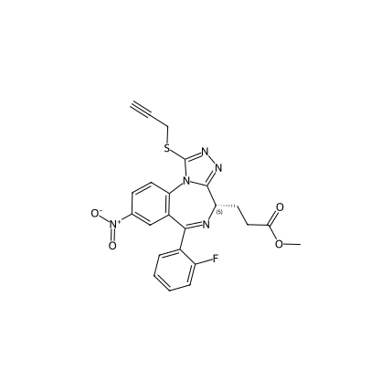 C#CCSc1nnc2n1-c1ccc([N+](=O)[O-])cc1C(c1ccccc1F)=N[C@H]2CCC(=O)OC